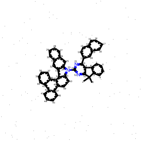 CC1(C)c2ccccc2-c2c(-c3ccc4ccccc4c3)nc(-n3c4cc5ccccc5cc4c4c5c6ccccc6c6ccccc6c5ccc43)nc21